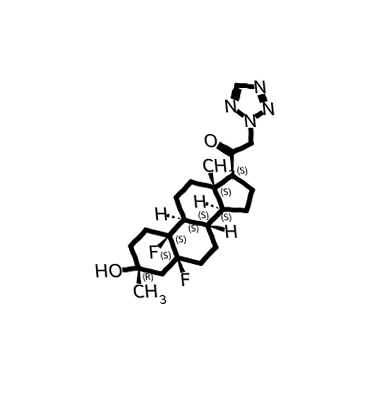 C[C@@]1(O)CC[C@]2(F)[C@H]3CC[C@]4(C)[C@@H](C(=O)Cn5ncnn5)CC[C@H]4[C@@H]3CC[C@]2(F)C1